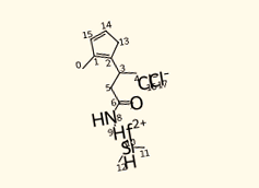 CC1=C(C(C)CC(=O)[NH][Hf+2][SiH](C)C)CC=C1.[Cl-].[Cl-]